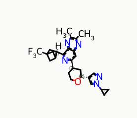 Cc1nc2cc([C@@H]3CCO[C@@H](c4cnn(C5CC5)c4)C3)nc([C@@H]3CC4(C(F)(F)F)CC3C4)c2nc1C